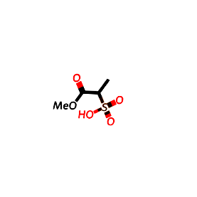 COC(=O)C(C)S(=O)(=O)O